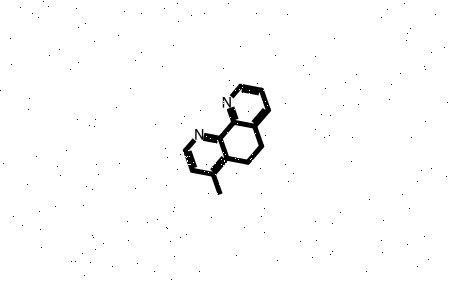 Cc1ccnc2c1CCc1cccnc1-2